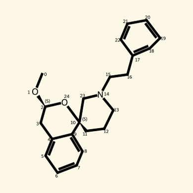 CO[C@@H]1Cc2ccccc2[C@]2(CCCN(CCc3ccccc3)C2)O1